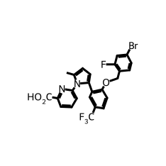 Cc1ccc(-c2cc(C(F)(F)F)ccc2OCc2ccc(Br)cc2F)n1-c1cccc(C(=O)O)n1